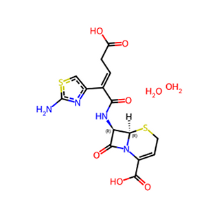 Nc1nc(C(=CCC(=O)O)C(=O)N[C@@H]2C(=O)N3C(C(=O)O)=CCS[C@H]23)cs1.O.O